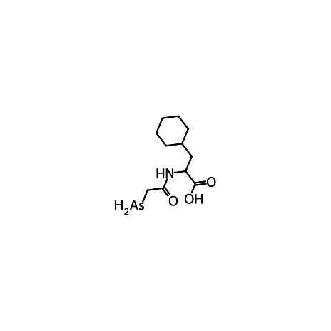 O=C(C[AsH2])NC(CC1CCCCC1)C(=O)O